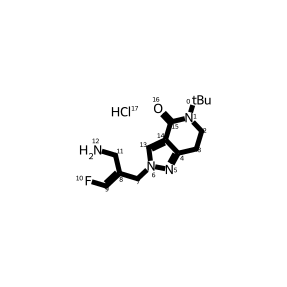 CC(C)(C)N1CCc2nn(C/C(=C/F)CN)cc2C1=O.Cl